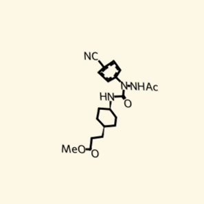 COC(=O)CC[C@H]1CC[C@@H](NC(=O)N(NC(C)=O)c2ccc(C#N)cc2)CC1